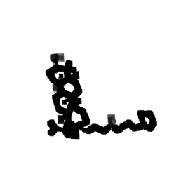 C=C(C)[C@@H]1CC[C@]2(CCCNCCCN3CCCC3)CC[C@]3(C)[C@H](CC[C@@H]4[C@@]5(C)CC[C@H](O)C(C)(C)[C@@H]5CC[C@]43C)[C@@H]12